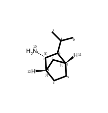 CC(C)C1[C@@H]2CC[C@@H](C2)[C@@H]1N